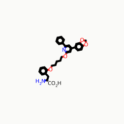 NC(Cc1ccccc1OCCCCCOc1cc(-c2ccc3c(c2)OCO3)cc(-c2ccccc2)n1)C(=O)O